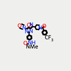 CNC(=O)Nc1ccc(-c2nc(N3CCOCC3)c3onc(C4CCN(C(=O)c5ccc(C(F)(F)F)cc5)CC4)c3n2)cc1